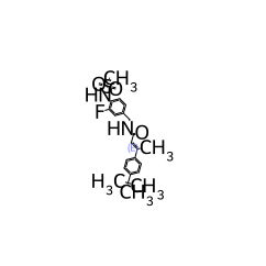 C/C(=C\C(=O)NCc1ccc(NS(C)(=O)=O)c(F)c1)c1ccc(C(C)(C)C)cc1